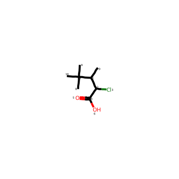 CC(C(Cl)C(=O)O)C(C)(C)C